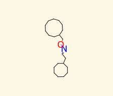 C(/CC1CCCCCCC1)=N\OCC1CCCCCCCCC1